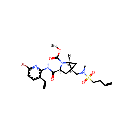 C=CCCS(=O)(=O)N(C)C[C@@]12C[C@@H](C(=O)Nc3nc(Br)ccc3C=C)N(C(=O)OC(C)(C)C)[C@@H]1C2